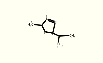 CC1CC(C(C)C)N=N1